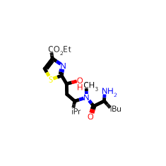 CCOC(=O)c1csc(C(O)CC(C(C)C)N(C)C(=O)C(N)C(C)CC)n1